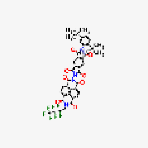 CC(C)(C)c1ccc(C(C)(C)C)c(-n2c(=O)c3cc4c(=O)n(N5C(=O)c6ccc7c8c(ccc(c68)C5=O)C(=O)N(CC(F)(F)C(F)(F)C(F)(F)F)C7=O)c(=O)c4cc3c2=O)c1